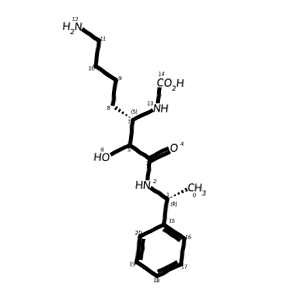 C[C@@H](NC(=O)C(O)[C@H](CCCCN)NC(=O)O)c1ccccc1